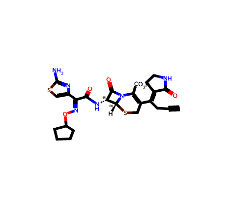 C#CCC(=C1CCNC1=O)C1=C(C(=O)O)N2C(=O)[C@@H](NC(=O)C(=NOC3CCCC3)c3csc(N)n3)[C@H]2SC1